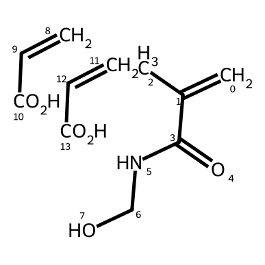 C=C(C)C(=O)NCO.C=CC(=O)O.C=CC(=O)O